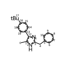 Cc1[nH]c(Cc2ccccc2)nc1-c1ccc(C(C)(C)C)cc1